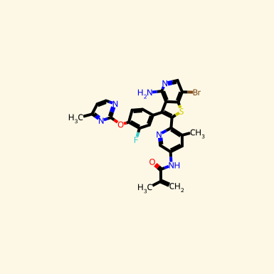 C=C(C)C(=O)Nc1cnc(-c2sc3c(Br)cnc(N)c3c2-c2ccc(Oc3nccc(C)n3)c(F)c2)c(C)c1